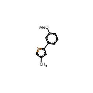 COc1cccc(-c2cc(C)[c]s2)c1